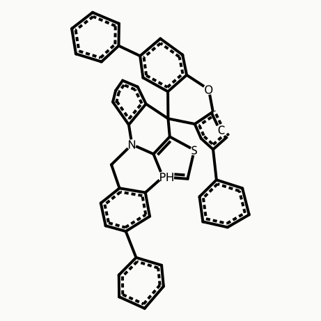 C1=[PH]2C3=C(S1)C1(c4cc(-c5ccccc5)ccc4Oc4ccc(-c5ccccc5)cc41)c1ccccc1N3Cc1ccc(-c3ccccc3)cc12